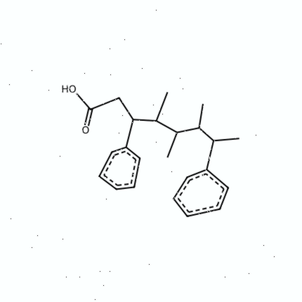 CC(c1ccccc1)C(C)C(C)C(C)C(CC(=O)O)c1ccccc1